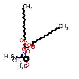 CCCCCCCCCCCCCCCC(=O)OCC(COC(=O)CCCCCCCCCCCCCCC)OC(=O)n1cc(CCN(C)C)c2cc(OC)ccc21